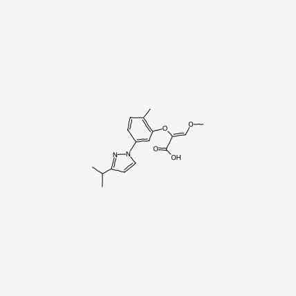 CO/C=C(\Oc1cc(-n2ccc(C(C)C)n2)ccc1C)C(=O)O